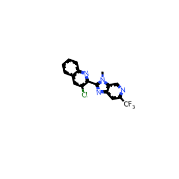 Cn1c(-c2nc3ccccc3cc2Cl)nc2cc(C(F)(F)F)ncc21